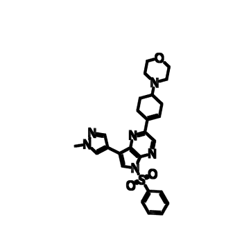 Cn1cc(-c2cn(S(=O)(=O)c3ccccc3)c3ncc(C4=CCC(N5CCOCC5)CC4)nc23)cn1